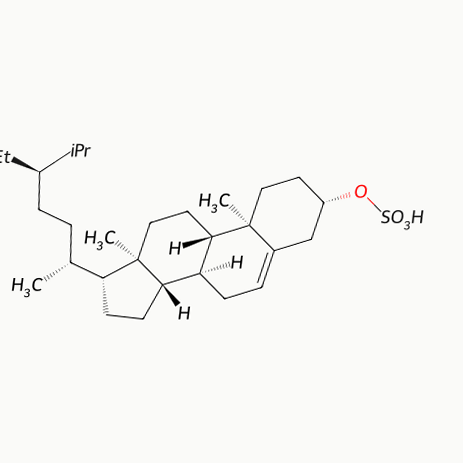 CC[C@H](CC[C@@H](C)[C@H]1CC[C@H]2[C@@H]3CC=C4C[C@@H](OS(=O)(=O)O)CC[C@]4(C)[C@H]3CC[C@]12C)C(C)C